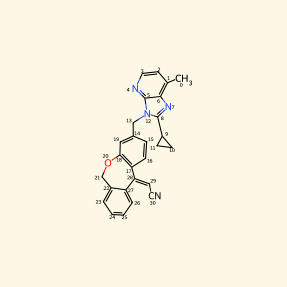 Cc1ccnc2c1nc(C1CC1)n2Cc1ccc2c(c1)OCc1ccccc1C2=CC#N